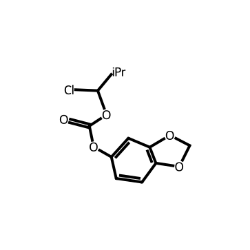 CC(C)C(Cl)OC(=O)Oc1ccc2c(c1)OCO2